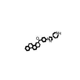 C1=CC=CNC=C1.O=C(c1ccc(-n2cccn2)cc1)C1C=c2c(ccc3c2=CCc2ccccc2-3)CC1